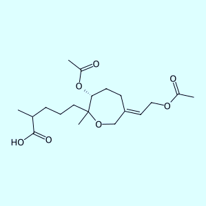 CC(=O)OC/C=C1\CC[C@@H](OC(C)=O)C(C)(CCCC(C)C(=O)O)OC1